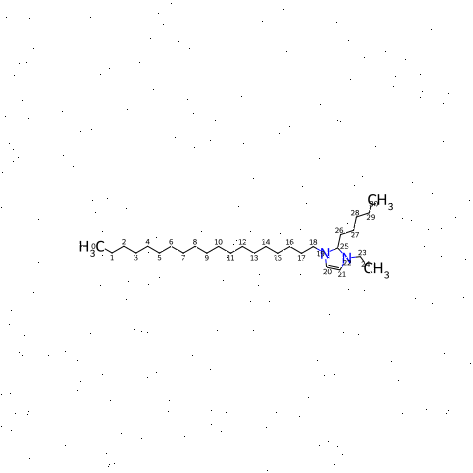 CCCCCCCCCCCCCCCCCCCN1C=CN(CC)C1CCCCC